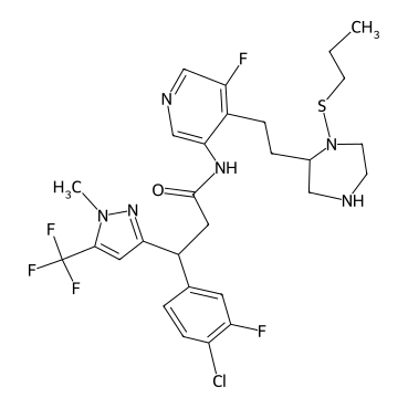 CCCSN1CCNCC1CCc1c(F)cncc1NC(=O)CC(c1ccc(Cl)c(F)c1)c1cc(C(F)(F)F)n(C)n1